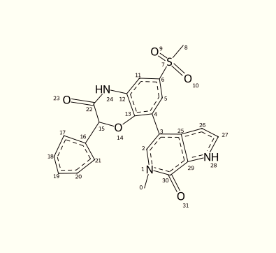 Cn1cc(-c2cc(S(C)(=O)=O)cc3c2OC(c2ccccc2)C(=O)N3)c2cc[nH]c2c1=O